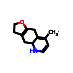 [CH2]C1=C2CC3=C(CCO3)CC2NC=C1